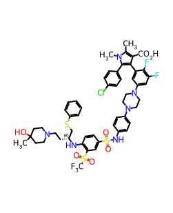 Cc1c(C(=O)O)c(-c2cc(N3CCN(c4ccc(NS(=O)(=O)c5ccc(N[C@H](CCN6CCC(C)(O)CC6)CSc6ccccc6)c(S(=O)(=O)C(F)(F)F)c5)cc4)CC3)cc(F)c2F)c(-c2ccc(Cl)cc2)n1C